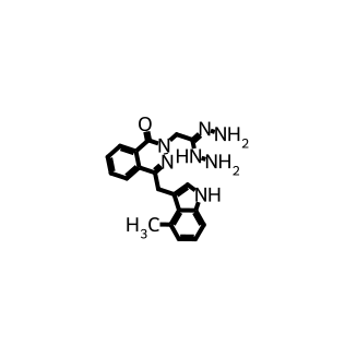 Cc1cccc2[nH]cc(Cc3nn(C/C(=N/N)NN)c(=O)c4ccccc34)c12